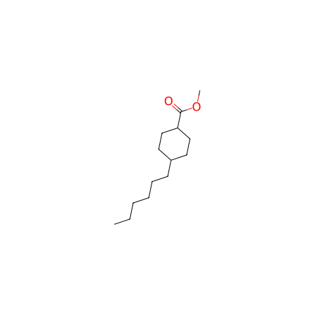 CCCCCCC1CCC(C(=O)OC)CC1